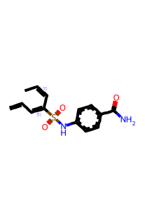 C=C/C=C(\C=C/C)S(=O)(=O)Nc1ccc(C(N)=O)cc1